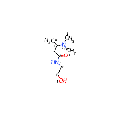 CC(CC(=O)NCCO)N(C)C